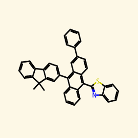 CC1(C)c2ccccc2-c2ccc(-c3c4ccccc4c(-c4nc5ccccc5s4)c4ccc(-c5ccccc5)cc34)cc21